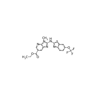 CCOC(=O)c1cnc2c(c1)nc(Nc1nc3ccc(OC(F)(F)F)cc3s1)n2C